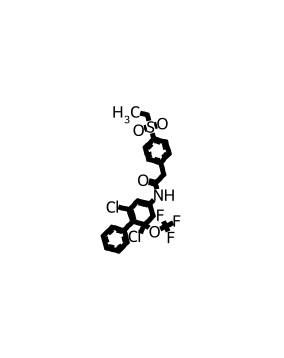 CCS(=O)(=O)c1ccc(CC(=O)NC2=CC(Cl)=C(c3ccccc3)C(Cl)(OC(F)(F)F)C2)cc1